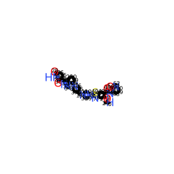 CC(C)Oc1cc2nc(N3CCN(CC4CCN(c5cccc6c(C7CCC(=O)NC7=O)nn(C)c56)CC4)CC3)sc2cc1C(=O)Nc1cccn(C)c1=O